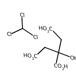 ClC(Cl)Cl.O=C(O)CC(O)(CC(=O)O)C(=O)O